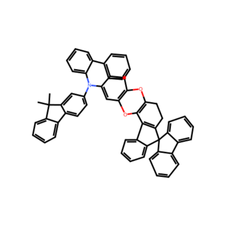 CC1(C)c2ccccc2-c2ccc(N(c3ccc4c(c3)OC3=C(CCC5=C3c3ccccc3C53c5ccccc5-c5ccccc53)O4)c3ccccc3-c3ccccc3)cc21